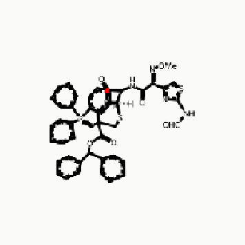 CON=C(C(=O)NC1C(=O)N2CC(C=P(c3ccccc3)(c3ccccc3)c3ccccc3)(C(=O)OC(c3ccccc3)c3ccccc3)CS[C@H]12)c1csc(NC=O)n1